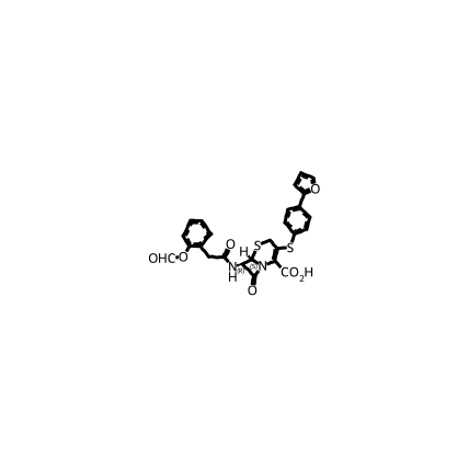 O=COc1ccccc1CC(=O)N[C@@H]1C(=O)N2C(C(=O)O)=C(Sc3ccc(-c4ccco4)cc3)CS[C@@H]12